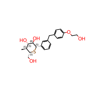 C[C@H]1[C@H](O)[C@@H](O)[C@H](c2cccc(Cc3ccc(OCCO)cc3)c2)S[C@@H]1CO